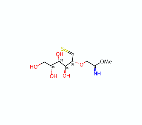 COC(=N)CO[C@@H](C=S)[C@@H](O)[C@@H](O)[C@H](O)CO